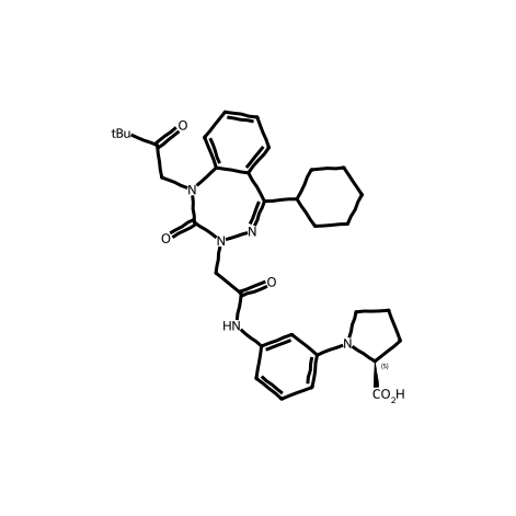 CC(C)(C)C(=O)CN1C(=O)N(CC(=O)Nc2cccc(N3CCC[C@H]3C(=O)O)c2)N=C(C2CCCCC2)c2ccccc21